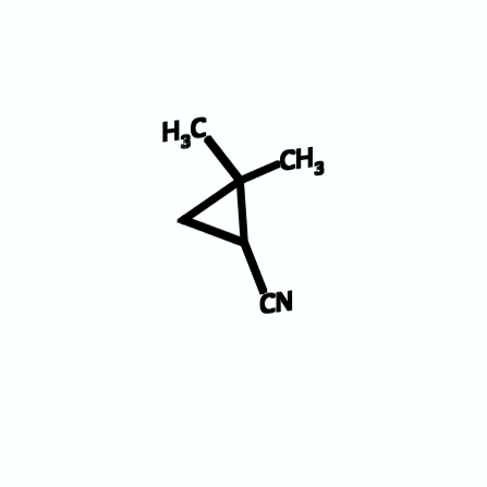 CC1(C)CC1C#N